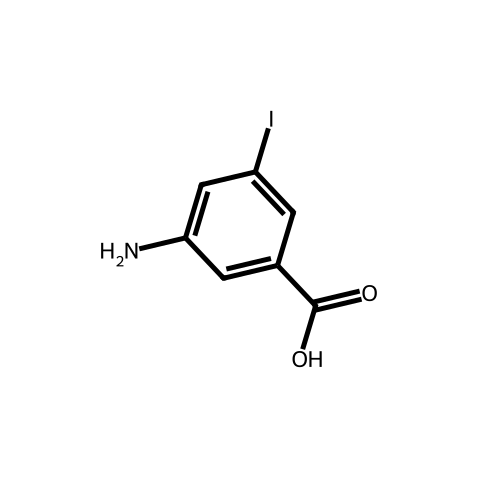 Nc1cc(I)cc(C(=O)O)c1